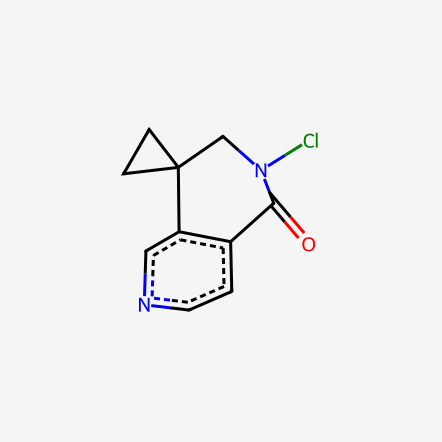 O=C1c2ccncc2C2(CC2)CN1Cl